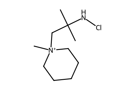 CC(C)(C[N+]1(C)CCCCC1)NCl